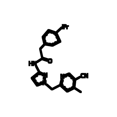 Cc1cc(Cn2ccc(NC(=O)Cc3ccc(C(C)C)cc3)n2)ncc1C#N